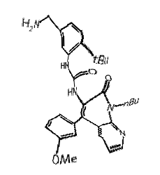 CCCCn1c(=O)c(NC(=O)Nc2cc(CN)ccc2C(C)(C)C)c(-c2cccc(OC)c2)c2cccnc21